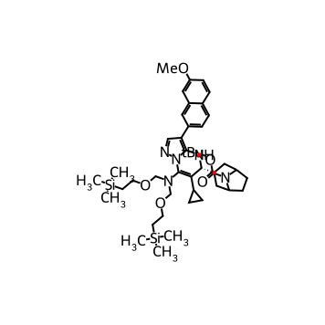 COc1ccc2ccc(-c3cnn4c3N[C@H](C3CC5CCC(C3)N5C(=O)OC(C)(C)C)C(C3CC3)=C4N(COCC[Si](C)(C)C)COCC[Si](C)(C)C)cc2c1